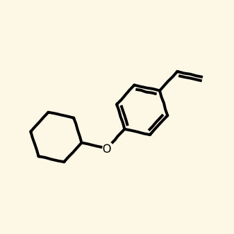 C=Cc1ccc(OC2CCCCC2)cc1